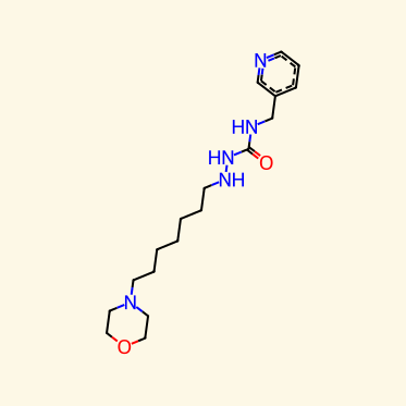 O=C(NCc1cccnc1)NNCCCCCCCN1CCOCC1